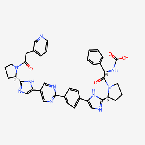 O=C(O)N[C@@H](C(=O)N1CCC[C@H]1c1ncc(-c2ccc(-c3ncc(-c4cnc([C@@H]5CCCN5C(=O)Cc5cccnc5)[nH]4)cn3)cc2)[nH]1)c1ccccc1